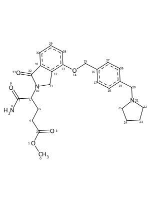 COC(=O)CCC(C(N)=O)N1Cc2c(OCc3ccc(CN4CCCC4)cc3)cccc2C1=O